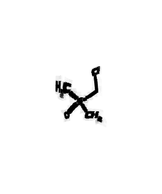 C[S+](C)(=O)CCl